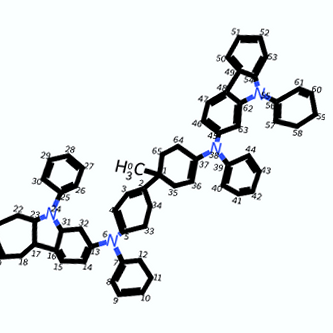 CC1(C2=CC=C(N(C3=CC=CCC3)C3=CC=C4C5CC#CCCC5N(c5ccccc5)C4C3)CC2)CC=C(N(c2ccccc2)c2ccc3c4ccccc4n(C4=CCCC=C4)c3c2)CC1